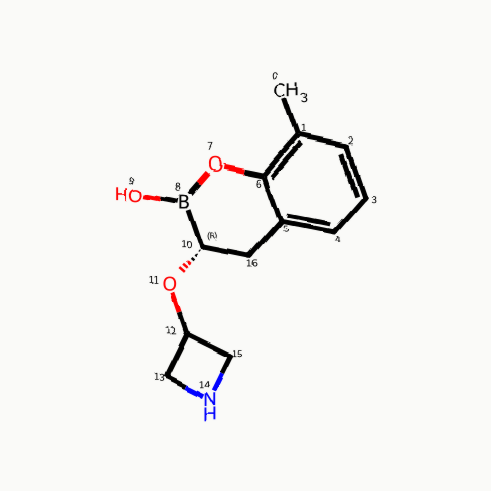 Cc1cccc2c1OB(O)[C@@H](OC1CNC1)C2